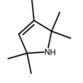 CC1=CC(C)(C)NC1(C)C